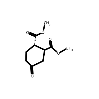 COC(=O)C1CC(=O)CC[C@@H]1C(=O)OC